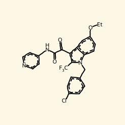 CCOc1ccc2c(c1)c(C(=O)C(=O)Nc1ccncc1)c(C(F)(F)F)n2Cc1ccc(Cl)cc1